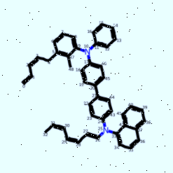 C=C/C=C\Cc1cccc(N(c2ccccc2)c2ccc(-c3ccc(N(/C=C/C=C\C=C/C)c4cccc5ccccc45)cc3)cc2)c1C